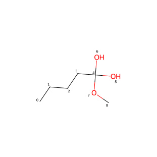 CCCCC(O)(O)OC